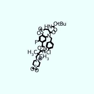 CC(C)(C)OC(=O)N[C@H]1CS(=O)(=O)c2cc(F)c(-c3nnc(C(C)(C)C[N+]4([O-])CCS(=O)(=O)CC4)o3)cc2N(Cc2ccc(Cl)cc2)C1=O